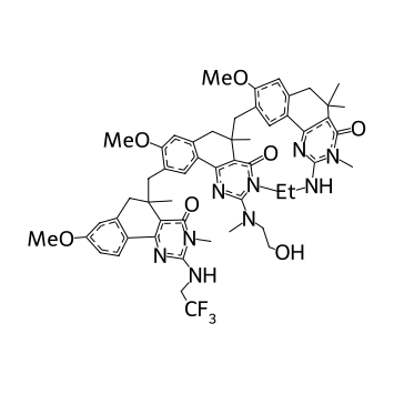 CCNc1nc2c(c(=O)n1C)C(C)(C)Cc1cc(OC)c(CC3(C)Cc4cc(OC)c(CC5(C)Cc6cc(OC)ccc6-c6nc(NCC(F)(F)F)n(C)c(=O)c65)cc4-c4nc(N(C)CCO)n(C)c(=O)c43)cc1-2